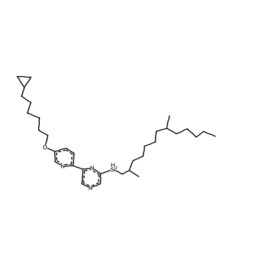 CCCCCC(C)CCCCCC(C)C[SiH2]c1cncc(-c2ccc(OCCCCCCC3CC3)cn2)n1